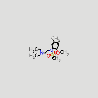 CCN(CC)CCN(c1cc(C)ccc1OC)S(C)(=O)=O